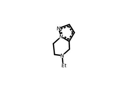 CCN1CCn2nccc2C1